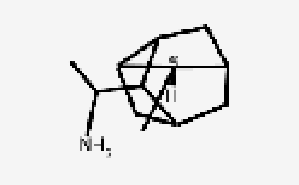 CC(N)C1C2CC3CC1C(C2)[C@H]3C